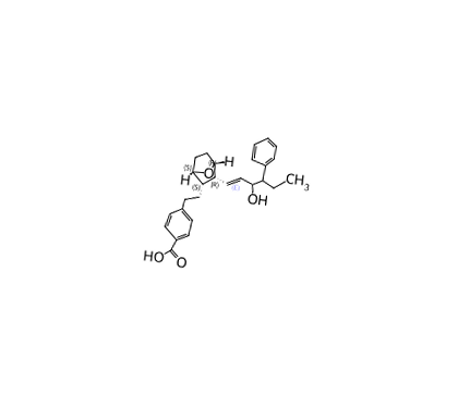 CCC(c1ccccc1)C(O)/C=C/[C@@H]1[C@H](CCc2ccc(C(=O)O)cc2)[C@@H]2CC[C@H]1O2